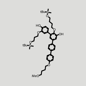 COCCCCOc1ccc(-c2ccc(-c3cc(O)c(OCCCCO[Si](C)(C)C(C)(C)C)c(-c4ccc(O)c(OCCCO[Si](C)(C)C(C)(C)C)c4)c3)cc2)cc1